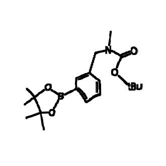 CN(Cc1cccc(B2OC(C)(C)C(C)(C)O2)c1)C(=O)OC(C)(C)C